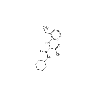 [CH2]Cc1ccccc1NC(C(=O)O)C(=O)NC1CCCCC1